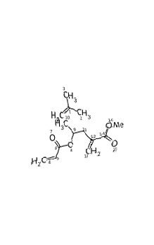 C=C(C)C.C=CC(=O)OC(C)CC(=C)C(=O)OC